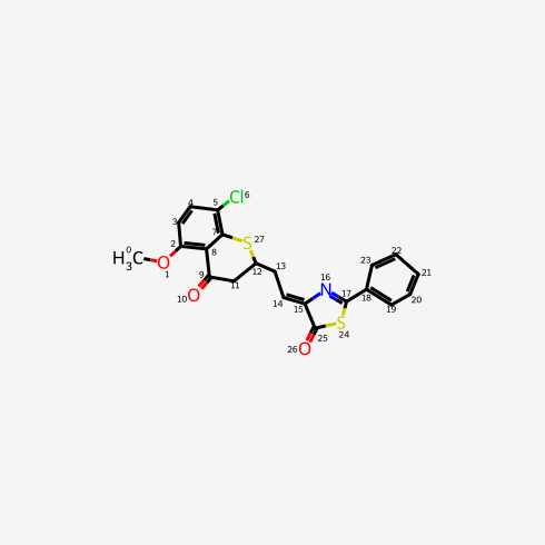 COc1ccc(Cl)c2c1C(=O)CC(CC=C1N=C(c3ccccc3)SC1=O)S2